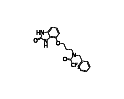 O=C(N(CCCOc1cccc2[nH]c(=O)[nH]c12)Cc1ccccc1)C(F)(F)F